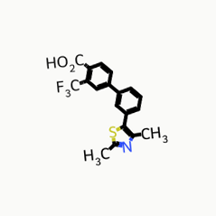 Cc1nc(C)c(-c2cccc(-c3ccc(C(=O)O)c(C(F)(F)F)c3)c2)s1